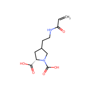 C=CC(=O)NCCC1C[C@@H](C(=O)O)N(C(=O)O)C1